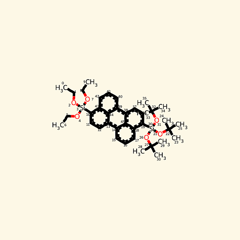 CCO[Si](OCC)(OCC)c1ccc2c3cccc4c([Si](OC(C)(C)C)(OC(C)(C)C)OC(C)(C)C)ccc(c5cccc1c25)c43